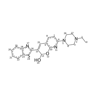 CCN1CCN(c2ccc3c(n2)OC(O)C(c2nc4ccccc4s2)=C3)CC1